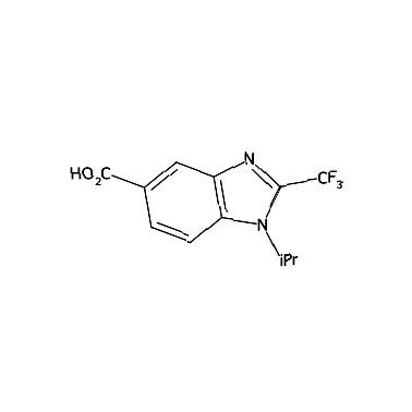 CC(C)n1c(C(F)(F)F)nc2cc(C(=O)O)ccc21